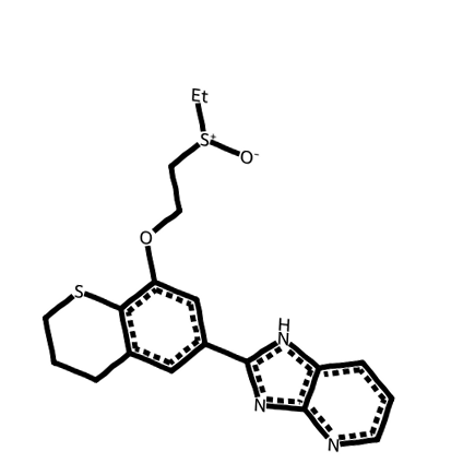 CC[S+]([O-])CCOc1cc(-c2nc3ncccc3[nH]2)cc2c1SCCC2